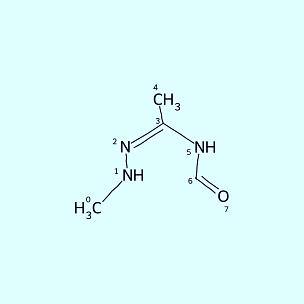 CN/N=C(/C)NC=O